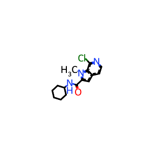 Cn1c(C(=O)NC2CCCCC2)cc2ccnc(Cl)c21